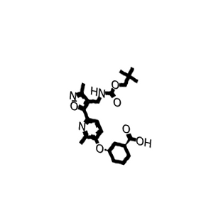 Cc1nc(-c2onc(C)c2CNC(=O)OCC(C)(C)C)ccc1O[C@H]1CCC[C@H](C(=O)O)C1